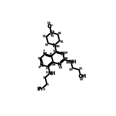 CC(C)CCNc1ncnc2c(N3CC[S+]([O-])CC3)nc(NCCO)nc12